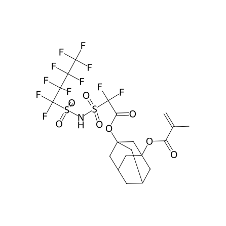 C=C(C)C(=O)OC12CC3CC(C1)CC(OC(=O)C(F)(F)S(=O)(=O)NS(=O)(=O)C(F)(F)C(F)(F)C(F)(F)C(F)(F)F)(C3)C2